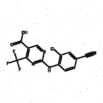 N#Cc1ccc(Nc2ncc(C(=O)O)c(C(F)(F)F)n2)c(Cl)c1